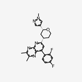 Cc1nc2nc([C@H]3CCO[C@@H](c4cnn(C)c4)C3)cc(-c3ccc(F)cc3F)c2nc1C